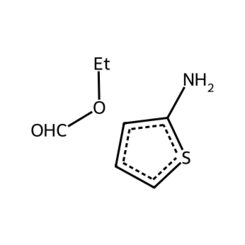 CCOC=O.Nc1cccs1